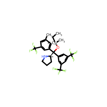 CC[Si](C)(C)OC(c1cc(C)cc(C(F)(F)F)c1)(c1cc(C(F)(F)F)cc(C(F)(F)F)c1)[C@H]1CCCN1